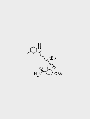 COc1ccc(C(N)=O)c2c1OC[C@H](N(CCCc1c[nH]c3ccc(F)cc13)C(C)(C)C)C2